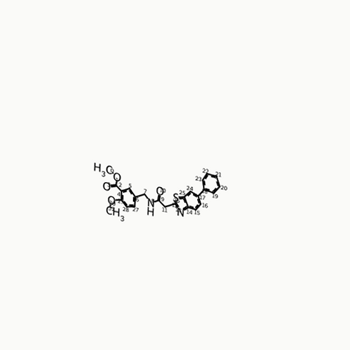 COC(=O)c1cc(CNC(=O)Cc2nc3ccc(-c4ccccc4)cc3s2)ccc1OC